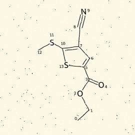 CCOC(=O)c1cc(C#N)c(SC)s1